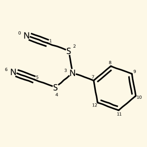 N#CSN(SC#N)c1ccccc1